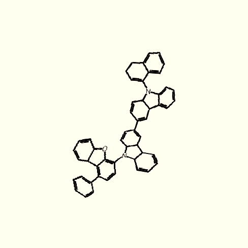 C1=CC2Oc3c(N4C5C=CC=CC5C5C=C(C6=CC7c8ccccc8N(C8=CCCc9ccccc98)C7C=C6)C=CC54)ccc(-c4ccccc4)c3C2C=C1